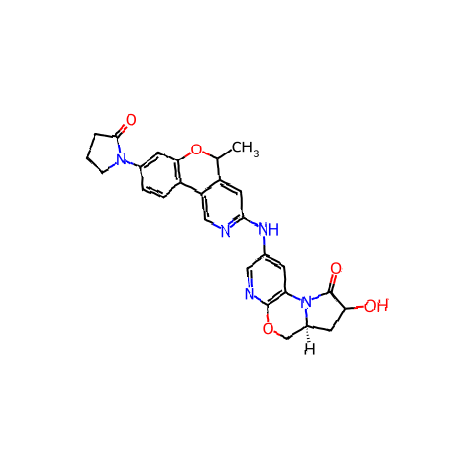 CC1Oc2cc(N3CCCC3=O)ccc2-c2cnc(Nc3cnc4c(c3)N3C(=O)C(O)C[C@H]3CO4)cc21